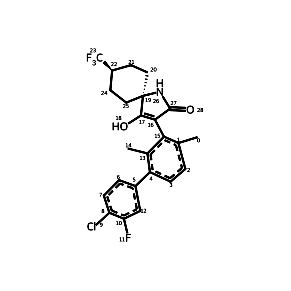 Cc1ccc(-c2ccc(Cl)c(F)c2)c(C)c1C1=C(O)[C@]2(CC[C@H](C(F)(F)F)CC2)NC1=O